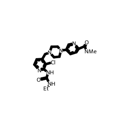 CCNC(=O)Nc1nccc(CN2CCN(c3ccc(C(=O)NC)nc3)CC2)c1Cl